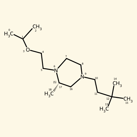 CC(C)OCCN1CCN(CCC(C)(C)C)C[C@@H]1C